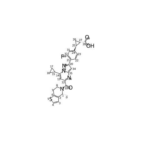 C[C@@H]1c2ccsc2CCN1C(=O)c1cc(C2CC2)n2nc(-c3ccc([C@H]4C[C@@H]4C(=O)O)cc3F)cc2n1